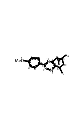 COc1ccc(-c2nnc3c(n2)C2CCC3(C)OC2C)cc1